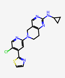 Clc1cnc(N2CCc3nc(NC4CC4)ncc3C2)cc1-c1nccs1